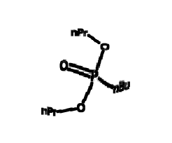 CCCCP(=O)(OCCC)OCCC